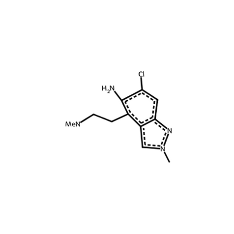 CNCCc1c(N)c(Cl)cc2nn(C)cc12